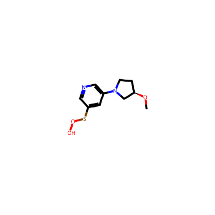 CO[C@@H]1CCN(c2cncc(SOO)c2)C1